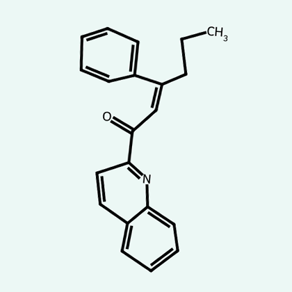 CCCC(=CC(=O)c1ccc2ccccc2n1)c1ccccc1